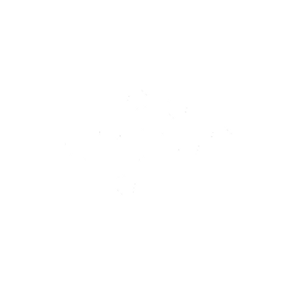 CC1(C)OCC2OC(OCC(OCc3ccccc3)C(OCc3ccccc3)C(COCc3ccc4ccccc4c3)OCc3ccccc3)C(F)C2O1